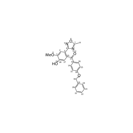 COc1cc(-c2noc(C)n2)c(C(=O)c2ccc(OCc3ccccc3)cc2)cc1O